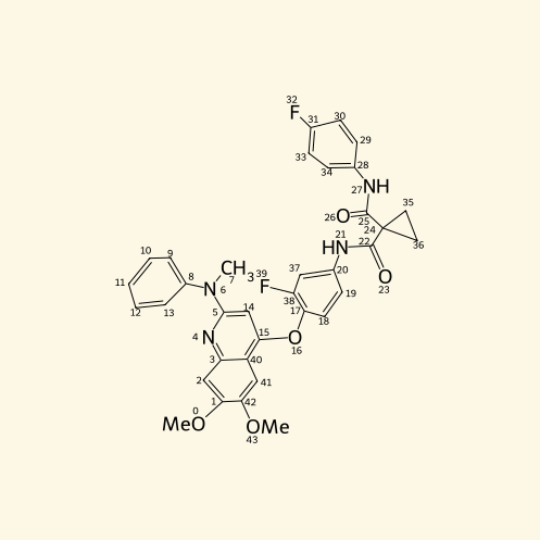 COc1cc2nc(N(C)c3ccccc3)cc(Oc3ccc(NC(=O)C4(C(=O)Nc5ccc(F)cc5)CC4)cc3F)c2cc1OC